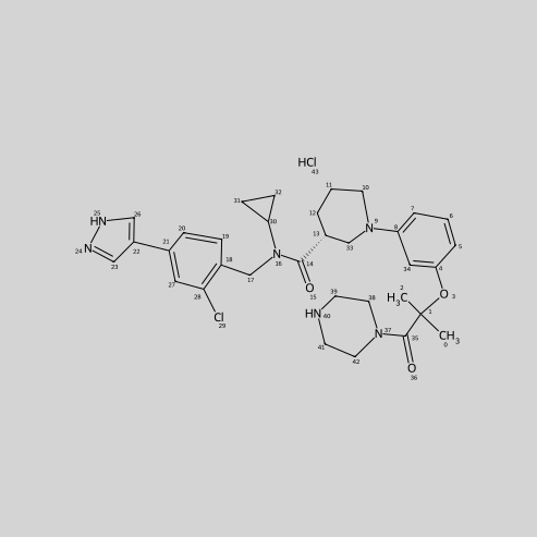 CC(C)(Oc1cccc(N2CCC[C@@H](C(=O)N(Cc3ccc(-c4cn[nH]c4)cc3Cl)C3CC3)C2)c1)C(=O)N1CCNCC1.Cl